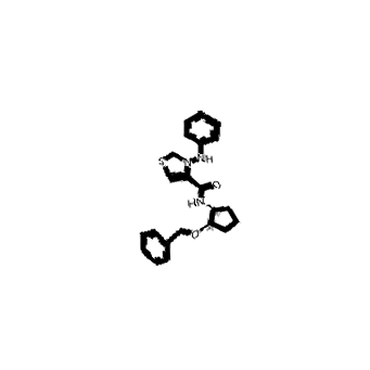 O=C(N[C@@H]1CCC[C@H]1OCc1ccccc1)C1=CSCN1Nc1ccccc1